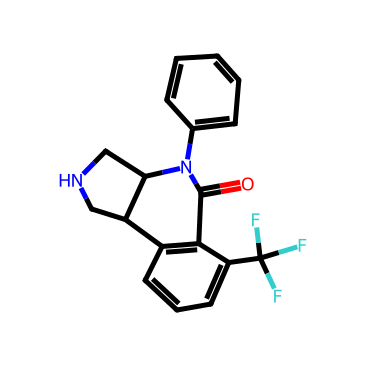 O=C1c2c(cccc2C(F)(F)F)C2CNCC2N1c1ccccc1